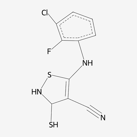 N#CC1=C(Nc2cccc(Cl)c2F)SNC1S